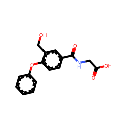 O=C(O)CNC(=O)c1ccc(Oc2ccccc2)c(CO)c1